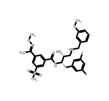 CO/N=C(\C)c1cc(C(=O)N[C@@H](Cc2cc(F)cc(F)c2)[C@H](O)CNCc2cccc(OC)c2)cc(S(C)(=O)=O)c1